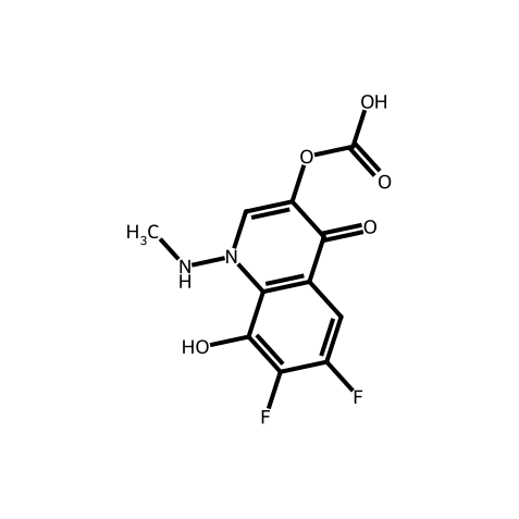 CNn1cc(OC(=O)O)c(=O)c2cc(F)c(F)c(O)c21